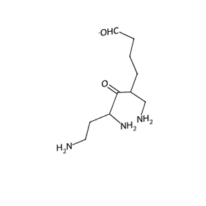 NCCC(N)C(=O)C(CN)CCC[C]=O